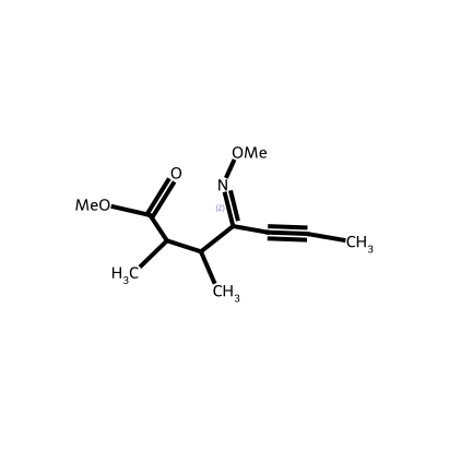 CC#C/C(=N\OC)C(C)C(C)C(=O)OC